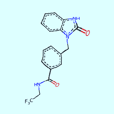 O=C(NCC(F)(F)F)c1cccc(Cn2c(=O)[nH]c3ccccc32)c1